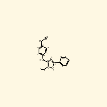 CCc1oc(-c2ccccc2)nc1Oc1ccc(CBr)cc1